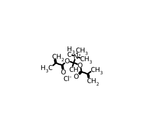 C=C(C)C(=O)OC(C)(OC(=O)C(=C)C)[N+](C)(C)C.[Cl-]